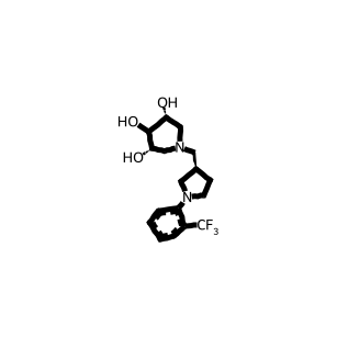 OC1[C@H](O)CN(C[C@H]2CCN(c3ccccc3C(F)(F)F)C2)C[C@@H]1O